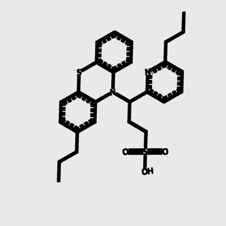 CCCc1ccc2c(c1)N(C(CCS(=O)(=O)O)c1cccc(CCC)n1)c1ccccc1S2